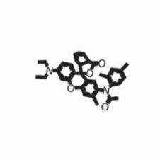 CCN(CC)c1ccc2c(c1)Oc1cc(C)c(N(C(C)=O)c3ccc(C)cc3C)cc1C21OC(=O)C2C=CC=CC21